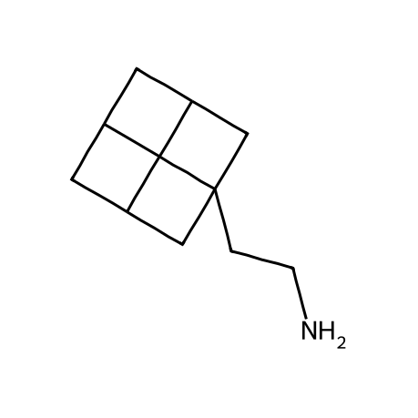 NCCC12CC3CC4CC(C1)C432